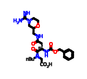 CCCCN(CC(=O)O)C(=O)[C@H](CC(=O)NCC1CN(C(=N)N)CCO1)NC(=O)OCc1ccccc1